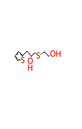 OCCSCC(O)Cc1cccs1